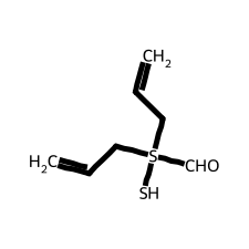 C=CCS(S)(C=O)CC=C